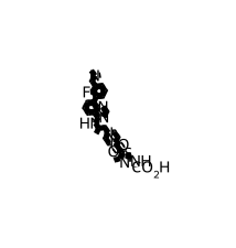 Cc1nc(NC(=O)O)sc1S(=O)(=O)N1CCN(CC(C)Nc2ncnc3c(-c4cccc(CN(C)C)c4F)cccc23)CC1